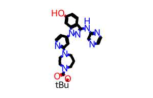 CC(C)(C)OC(=O)N1CCCN(c2cc(-n3nc(Nc4cnccn4)c4ccc(O)cc43)ccn2)CC1